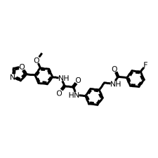 COc1cc(NC(=O)C(=O)Nc2cccc(CNC(=O)c3cccc(F)c3)c2)ccc1-c1cnco1